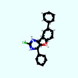 Clc1nc(-c2ccccc2)c2oc3ccc(-c4ccccc4)cc3c2n1